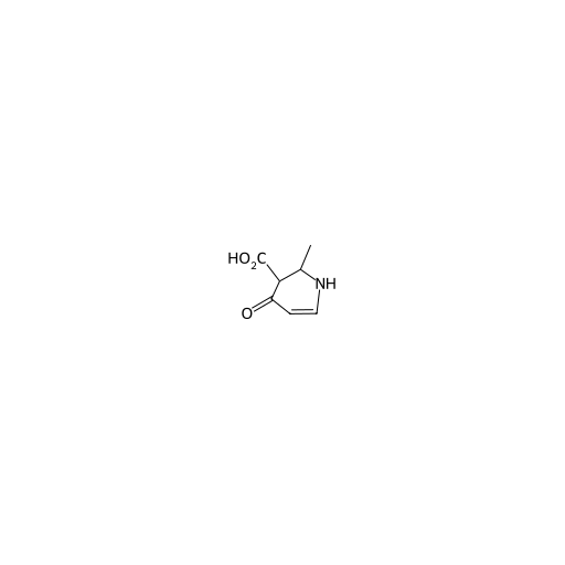 CC1NC=CC(=O)C1C(=O)O